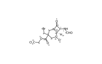 O=CNC1C(=O)N2CC(CBr)(C(=O)OCC(Cl)(Cl)Cl)C[S+]([O-])[C@H]12